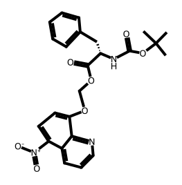 CC(C)(C)OC(=O)N[C@@H](Cc1ccccc1)C(=O)OCOc1ccc([N+](=O)[O-])c2cccnc12